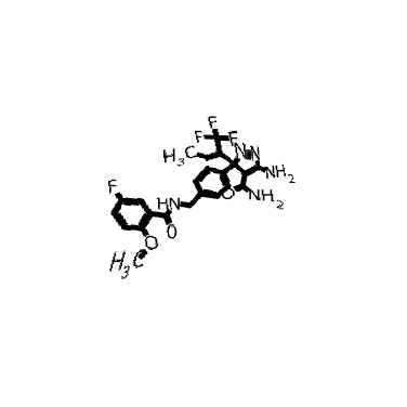 CCC(C(F)(F)F)C1(c2ccc(CNC(=O)c3cc(F)ccc3OC)cc2)N=NC(N)=C1C(N)=O